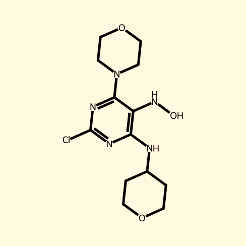 ONc1c(NC2CCOCC2)nc(Cl)nc1N1CCOCC1